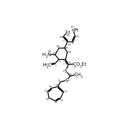 C=CC1/C(=C(\SC(C)SCC2=CC=CCC=C2)C(=O)OCC)CC(C(/C=C\CCC)=C/CC)CC1N